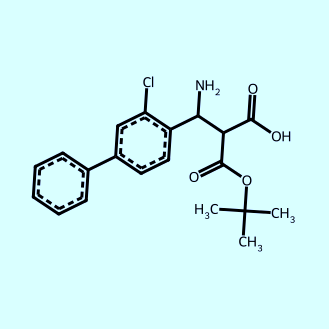 CC(C)(C)OC(=O)C(C(=O)O)C(N)c1ccc(-c2ccccc2)cc1Cl